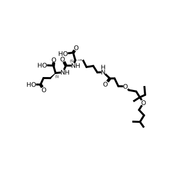 CCC(C)(CCOCCC(=O)NCCCC[C@H](NC(=O)N[C@@H](CCC(=O)O)C(=O)O)C(=O)O)OCCC(C)C